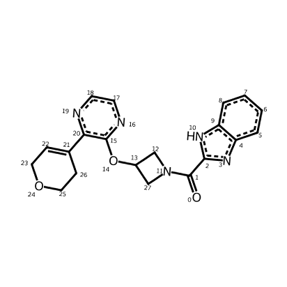 O=C(c1nc2ccccc2[nH]1)N1CC(Oc2nccnc2C2=CCOCC2)C1